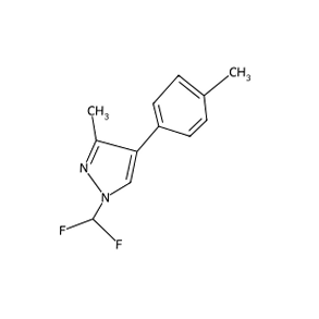 Cc1ccc(-c2cn(C(F)F)nc2C)cc1